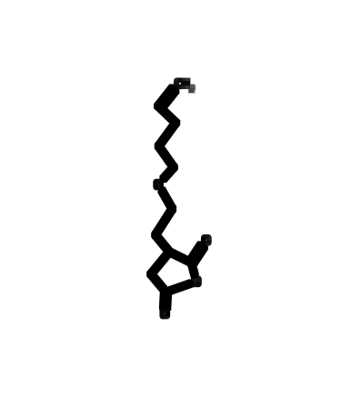 C=CCCCOCCC1CC(=O)OC1=O